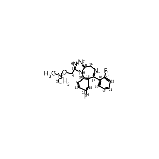 CN(C)OCc1nnc2n1-c1ccc(F)cc1C(c1ccccc1F)=NC2